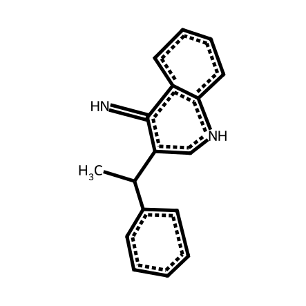 CC(c1ccccc1)c1c[nH]c2ccccc2c1=N